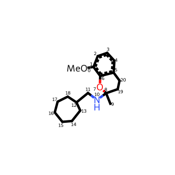 COc1cccc2c1OC(C)(NCC1CCCCCC1)CC2